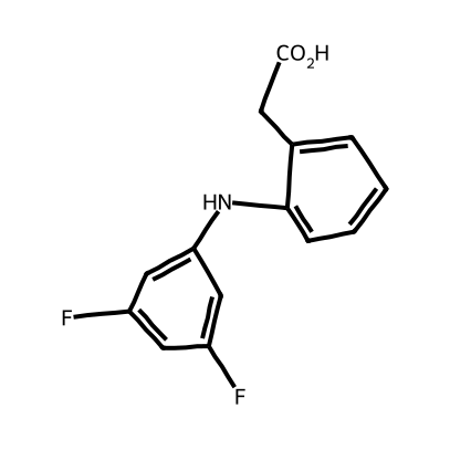 O=C(O)Cc1ccccc1Nc1cc(F)cc(F)c1